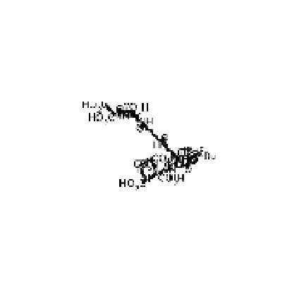 CC(C)(C)[Si](F)(c1ccc(C(=O)NC[C@@H](NC(=O)CC[C@H](C(=O)O)N2CCN(CC(=O)O)CCN(CC(=O)O)CCN(CC(=O)O)CC2)C(=O)N[C@H](CCCCNC(=O)CCCCCCC(=O)NCCCC[C@H](NC(=O)N[C@@H](CCCC(=O)O)C(=O)O)C(=O)O)C(=O)O)cc1)C(C)(C)C